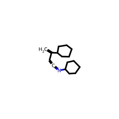 C=C(C=C=NC1CCCCC1)C1CCCCC1